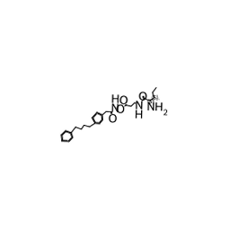 CC[C@H](C)[C@H](N)C(=O)NCCC(=O)ONC(=O)Cc1ccc(CCCCc2ccccc2)cc1